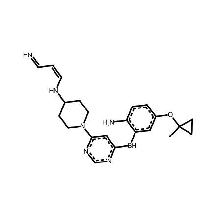 CC1(Oc2ccc(N)c(Bc3cc(N4CCC(N/C=C\C=N)CC4)ncn3)c2)CC1